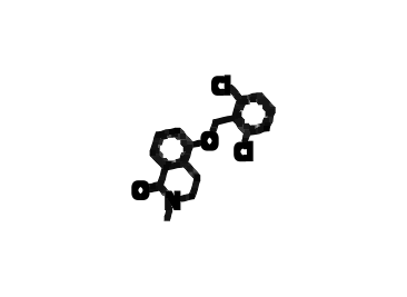 CN1CCc2c(OCc3c(Cl)cccc3Cl)cccc2C1=O